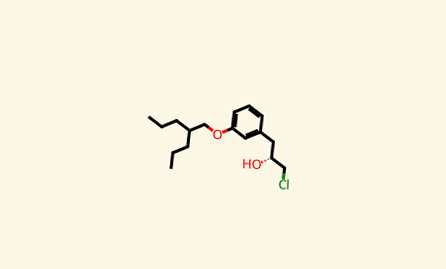 CCCC(CCC)COc1cccc(C[C@@H](O)CCl)c1